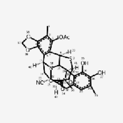 CC(=O)Oc1c(C)c2c(c3c1[C@H]1SCC(=O)C(=O)OC[C@@H]3N3C1[C@H]1c4c(cc(C)c(O)c4O)C[C@@H]([C@@H]3C#N)N1C)OCO2